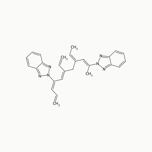 C=C/C=C(\C=C(/C=C)CC(=C/C)/C=C(\C)n1nc2ccccc2n1)n1nc2ccccc2n1